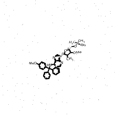 COc1ccc(C(Nc2ncnc3c2ncn3[C@@H]2O[C@H](CO[Si](C)(C)C(C)(C)C)C(OC)C2C)(c2ccccc2)c2ccccc2)cc1